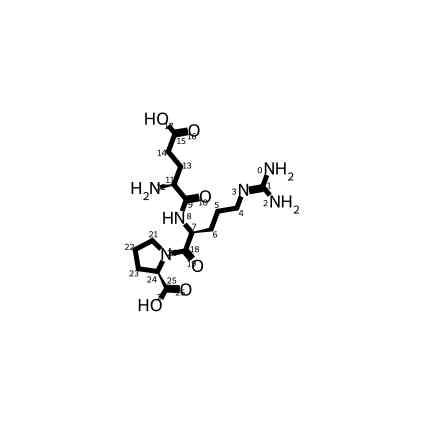 NC(N)=NCCC[C@H](NC(=O)[C@@H](N)CCC(=O)O)C(=O)N1CCC[C@@H]1C(=O)O